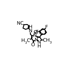 CC1=C(CNC2=CCC(C#N)CC2)N(C)C2=C(c3ccc(F)cc3F)C(C)NN2C1=O